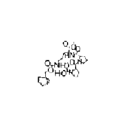 COC(=O)[C@H](CCCNC(=O)OCc1ccccc1)NC(=O)[C@@H]1CCCN1C(=O)C1CCCN1C(=O)O